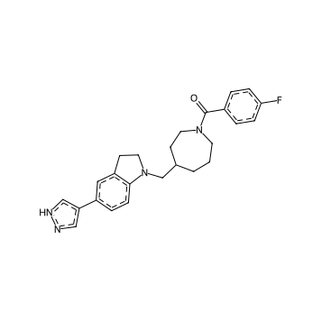 O=C(c1ccc(F)cc1)N1CCCC(CN2CCc3cc(-c4cn[nH]c4)ccc32)CC1